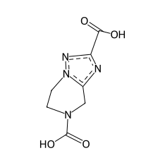 O=C(O)c1nc2n(n1)CCN(C(=O)O)C2